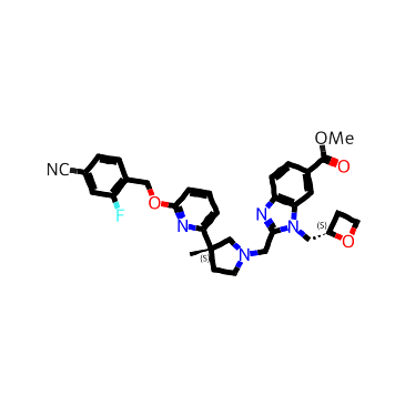 COC(=O)c1ccc2nc(CN3CC[C@](C)(c4cccc(OCc5ccc(C#N)cc5F)n4)C3)n(C[C@@H]3CCO3)c2c1